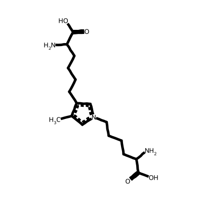 Cc1cn(CCCCC(N)C(=O)O)cc1CCCCC(N)C(=O)O